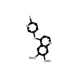 COc1cc2nccc(Oc3ccc(F)nc3)c2cc1OC